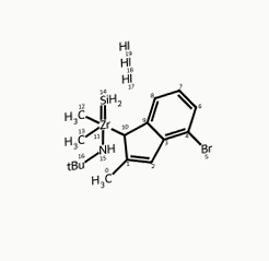 CC1=Cc2c(Br)cccc2[CH]1[Zr]([CH3])([CH3])(=[SiH2])[NH]C(C)(C)C.I.I.I